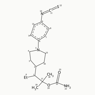 CCC(C1CCN(c2ccc(N=C=S)cc2)CC1)C(C)(C)OC(N)=O